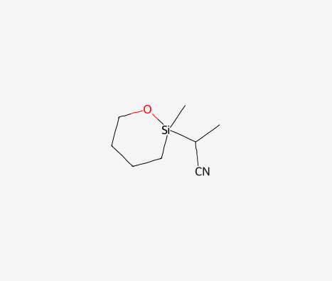 CC(C#N)[Si]1(C)CCCCO1